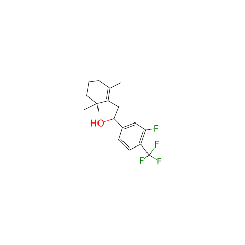 CC1=C(CC(O)c2ccc(C(F)(F)F)c(F)c2)C(C)(C)CCC1